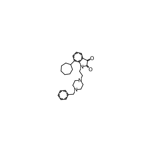 O=C1C(=O)N(CCN2CCN(Cc3ccccc3)CC2)c2c1cccc2C1CCCCCC1